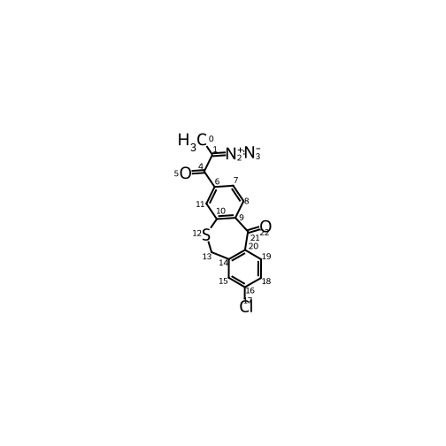 CC(=[N+]=[N-])C(=O)c1ccc2c(c1)SCc1cc(Cl)ccc1C2=O